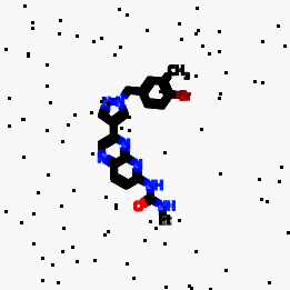 CCNC(=O)Nc1ccc2ncc(-c3cnn(Cc4ccc(Br)c(C)c4)c3)nc2n1